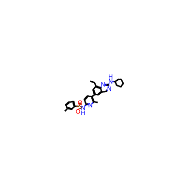 CCc1cc(-c2ccc(NS(=O)(=O)c3cccc(C)c3)nc2C)cc2cnc(NC3CCCCC3)nc12